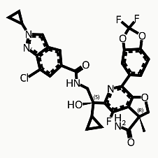 C[C@]1(C(N)=O)COc2c(-c3ccc4c(c3)OC(F)(F)O4)nc([C@@](O)(CNC(=O)c3cc(Cl)c4nn(C5CC5)cc4c3)C3CC3)c(F)c21